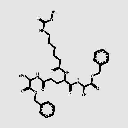 CCCC(NC(=O)CCC(NC(=O)CCCCCNC(=O)OC(C)(C)C)C(=O)NC(CCC)C(=O)OCc1ccccc1)C(=O)OCc1ccccc1